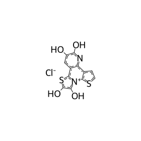 Oc1cc2c(nc1O)c1ccsc1[n+]1c(O)c(O)sc21.[Cl-]